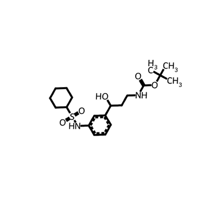 CC(C)(C)OC(=O)NCCC(O)c1cccc(NS(=O)(=O)C2CCCCC2)c1